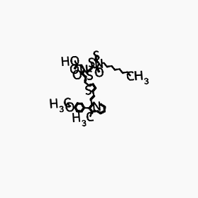 CCCCCCCCN1C(=O)/C(=c2\s/c(=C\c3ccc(/C=C/c4c(-c5ccc(OC)cc5)c(C)c5ccccn45)s3)c(=O)n2CC(=O)O)SC1=S